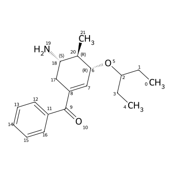 CCC(CC)O[C@@H]1C=C(C(=O)c2ccccc2)C[C@H](N)[C@H]1C